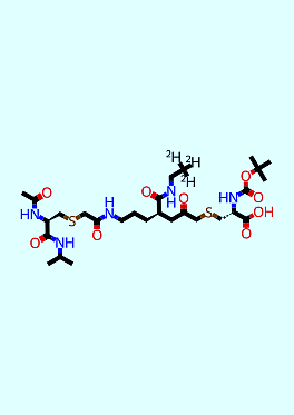 [2H]C([2H])([2H])CNC(=O)[C@H](CCCNC(=O)CSC[C@H](NC(C)=O)C(=O)NC(C)C)CC(=O)CSC[C@H](NC(=O)OC(C)(C)C)C(=O)O